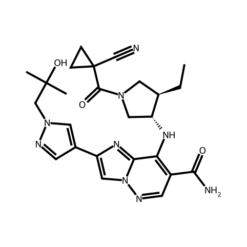 CC[C@@H]1CN(C(=O)C2(C#N)CC2)C[C@H]1Nc1c(C(N)=O)cnn2cc(-c3cnn(CC(C)(C)O)c3)nc12